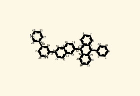 c1ccc(-c2c3ccccc3c(-c3ccc4cc(-c5cc(-c6cccnc6)ccn5)ccc4c3)c3ccccc23)cc1